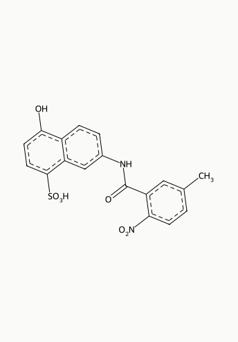 Cc1ccc([N+](=O)[O-])c(C(=O)Nc2ccc3c(O)ccc(S(=O)(=O)O)c3c2)c1